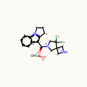 O=C(c1c2n(c3ccccc13)CCC2)N1CC(F)(F)C2(CNC2)C1.O=CO